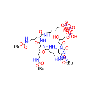 CC(C)(C)OC(=O)NCCCCC(N)C(=O)NC(CCCCNC(=O)OC(C)(C)C)C(=O)NC(CCCCNC(=O)OC(C)(C)C)C(=O)NCCCCCCOP(=O)(O)OP(=O)(O)OP(=O)(O)OC[C@H]1O[C@@H](n2ccc(N)nc2=O)C[C@H]1O